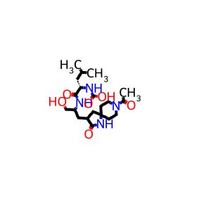 CC(=O)N1CCC2(CC1)CC(CC(CO)NC(=O)[C@H](CC(C)C)NC(=O)O)C(=O)N2